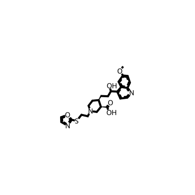 COc1ccc2nccc(C(O)CC[C@@H]3CCN(CCSc4ncco4)C[C@@H]3C(=O)O)c2c1